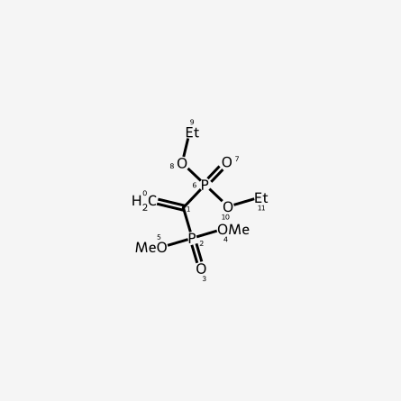 C=C(P(=O)(OC)OC)P(=O)(OCC)OCC